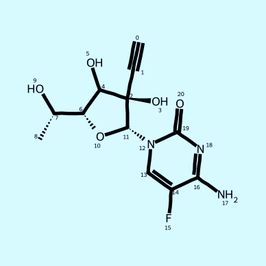 C#C[C@@]1(O)C(O)[C@@H]([C@H](C)O)O[C@H]1n1cc(F)c(N)nc1=O